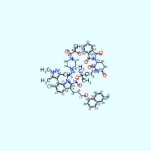 Cc1nn(C)c(C)c1-c1c(Cl)ccc2c(CCCOc3cccc4cc(F)ccc34)c(C(=O)OC(C)(C)C)n(CCN3CCN(C(=O)[C@@H](C)Oc4cccc5c4C(=O)N(C4CCC(=O)NC4=O)C5=O)CC3)c12